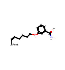 CCCCC/C=C\CCCCOc1cccc(C(N)=O)c1